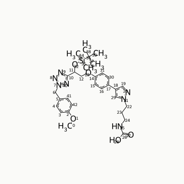 COc1ccc(Cn2nnc(C(COc3ccc(-c4cnn(CCCNC(=O)O)c4)cc3)O[Si](C)(C)C(C)(C)C)n2)cc1